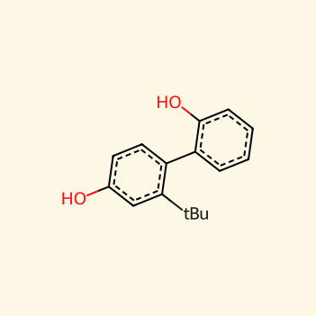 CC(C)(C)c1cc(O)ccc1-c1ccccc1O